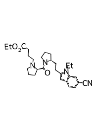 CCOC(=O)CCCN1CCC[C@@H]1C(=O)N1CCC[C@H]1CCc1cc2ccc(C#N)cc2n1CC